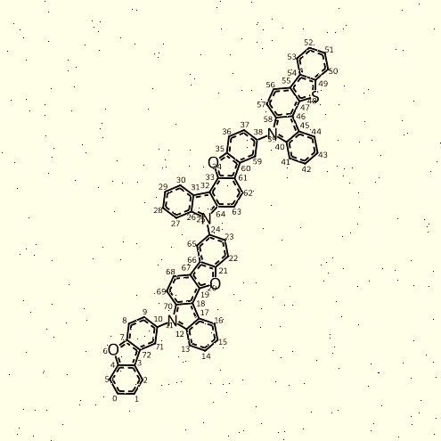 c1ccc2c(c1)oc1ccc(-n3c4ccccc4c4c5oc6ccc(-n7c8ccccc8c8c9oc%10ccc(-n%11c%12ccccc%12c%12c%13sc%14ccccc%14c%13ccc%12%11)cc%10c9ccc87)cc6c5ccc43)cc12